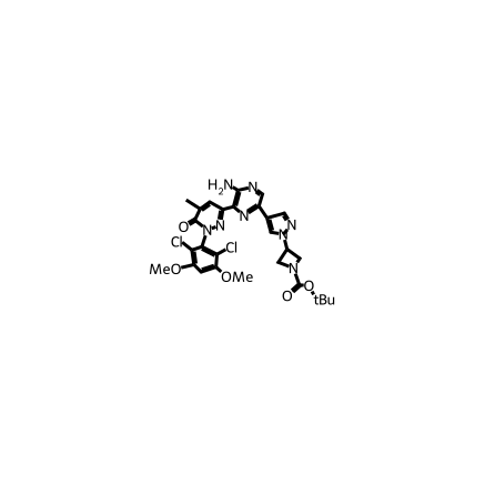 COc1cc(OC)c(Cl)c(-n2nc(-c3nc(-c4cnn(C5CN(C(=O)OC(C)(C)C)C5)c4)cnc3N)cc(C)c2=O)c1Cl